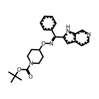 CC(C)(C)OC(=O)N1CCC(ON=C(c2ccccc2)c2cc3ccncc3[nH]2)CC1